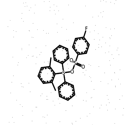 Cc1cccc(C)c1S(OS(=O)(=O)c1ccc(F)cc1)(c1ccccc1)c1ccccc1